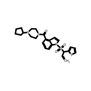 C=CC(c1cccs1)S(=O)(=O)n1ccc2c(C(=O)N3CCN(C4CCCC4)CC3)cccc21